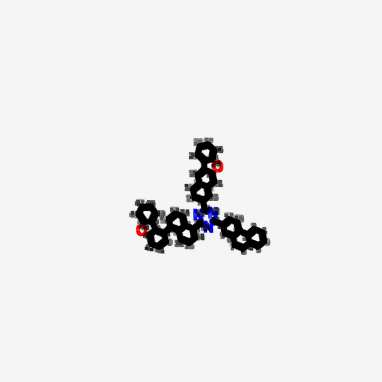 c1ccc2c(c1)ccc1cc(-c3nc(-c4ccc5cc6c(cc5c4)oc4ccccc46)nc(-c4cccc5c(-c6cccc7oc8ccccc8c67)cccc45)n3)ccc12